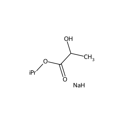 CC(C)OC(=O)C(C)O.[NaH]